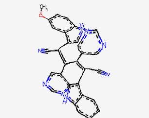 COc1ccc2[nH]cc(/C(C#N)=C(\C(=C(\C#N)c3c[nH]c4ccccc34)c3cncnc3)c3cncnc3)c2c1